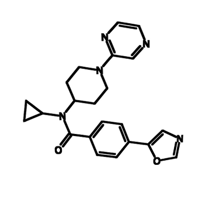 O=C(c1ccc(-c2cnco2)cc1)N(C1CC1)C1CCN(c2cnccn2)CC1